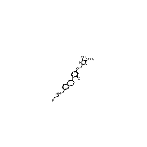 Cc1nc(COc2ccn(C3=Cc4ccc(CNCCF)cc4CC3)c(=O)c2)sc1C